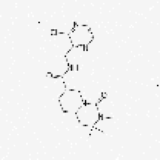 CN1C(=O)N2CC(C(=O)NCc3nccnc3Cl)CCC2CC1(C)C